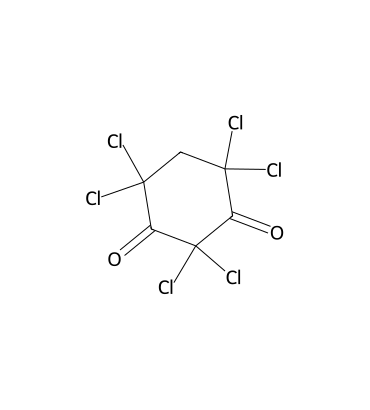 O=C1C(Cl)(Cl)CC(Cl)(Cl)C(=O)C1(Cl)Cl